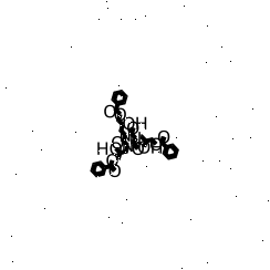 O=C(OCC(O)Cn1c(=O)n(CC(O)COC(=O)c2ccccc2)c(=O)n(CC(O)COC(=O)c2ccccc2)c1=O)c1ccccc1